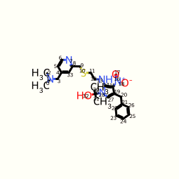 CN(C)Cc1ccnc(CSCCNc2c([N+](=O)[O-])c(Cc3ccccc3)cn2C(C)(C)O)c1